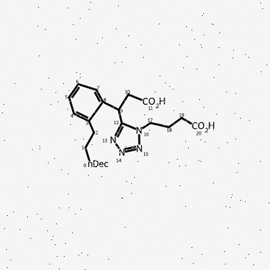 CCCCCCCCCCCCc1ccccc1C(CC(=O)O)c1nnnn1CCCC(=O)O